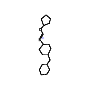 C(=N\C1CCC(CC2CCCCC2)CC1)/OC1CCCC1